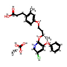 Cc1cc(OCC[C@H](C)Oc2ncc(Cl)cc2Oc2ccccc2)ccc1CCC(=O)O.O=C([O-])[O-].[K+].[K+]